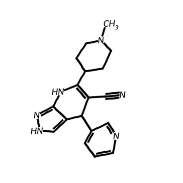 CN1CCC(C2=C(C#N)C(c3cccnc3)c3c[nH]nc3N2)CC1